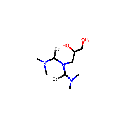 CCC(N(C)C)N(CC(O)CO)C(CC)N(C)C